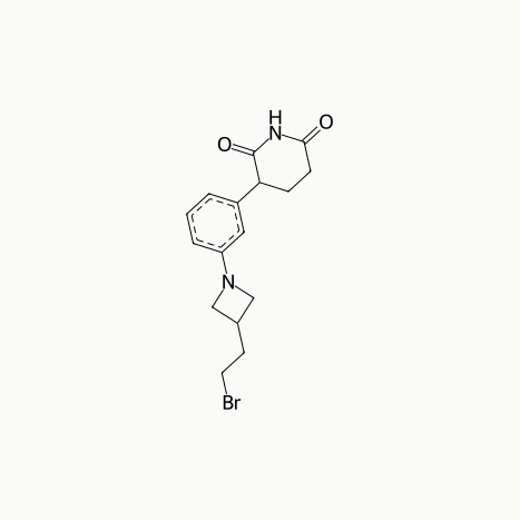 O=C1CCC(c2cccc(N3CC(CCBr)C3)c2)C(=O)N1